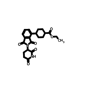 CCOC(=O)C1CCC(c2cccc3c2C(=O)N(C2CCC(=O)NC2=O)C3=O)CC1